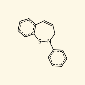 C1=Cc2ccccc2SN(c2ccccc2)C1